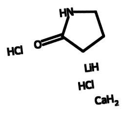 Cl.Cl.O=C1CCCN1.[CaH2].[LiH]